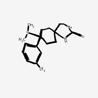 CN(C)C1(c2cccc(C(F)(F)F)c2)CCC2(CC1)CNC(=O)N2